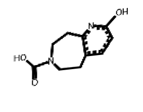 O=C(O)N1CCc2ccc(O)nc2CC1